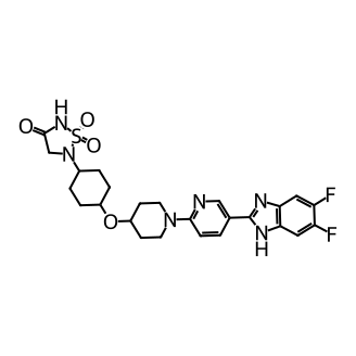 O=C1CN(C2CCC(OC3CCN(c4ccc(-c5nc6cc(F)c(F)cc6[nH]5)cn4)CC3)CC2)S(=O)(=O)N1